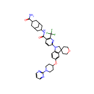 NC(=O)C1CC2CC(CC(NC(=O)c3ccc(N4CC5(CCOCC5)c5cc(OC6CCN(c7ncccn7)CC6)ccc54)nc3C(F)(F)F)C2)C1